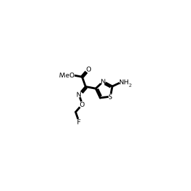 COC(=O)/C(=N/OCF)c1csc(N)n1